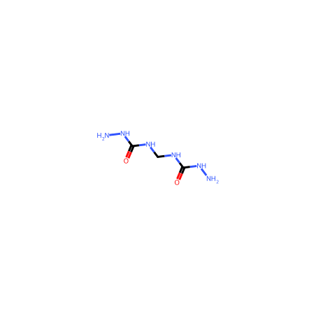 NNC(=O)NCNC(=O)NN